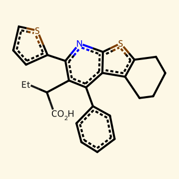 CCC(C(=O)O)c1c(-c2cccs2)nc2sc3c(c2c1-c1ccccc1)CCCC3